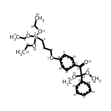 CCO[Si](CCCOc1ccc(C(=O)C(OC)(OC)c2ccccc2)cc1)(OCC)OCC